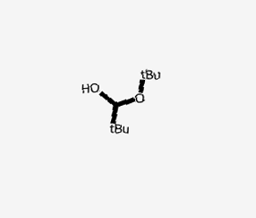 CC(C)(C)OC(O)C(C)(C)C